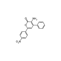 Nc1c(-c2ccccc2)cc(-c2ccc([N+](=O)[O-])cc2)oc1=O